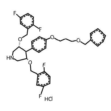 Cl.Fc1ccc(F)c(CO[C@H]2CNC[C@@H](OCc3cc(F)ccc3F)C2c2ccc(OCCCOCc3ccccc3)cc2)c1